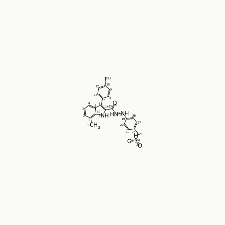 Cc1cccc2c(-c3ccc(F)cc3)c(C(=O)NNc3ccc(C[SH](=O)=O)cc3)[nH]c12